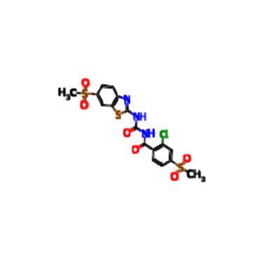 CS(=O)(=O)c1ccc(C(=O)NC(=O)Nc2nc3ccc(S(C)(=O)=O)cc3s2)c(Cl)c1